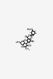 CCCC1CC(=O)C2=C(C1)NC(C)=C(C#N)C2c1cc(Br)c(OCc2cccc(OC)c2)c(C(=O)OC)c1